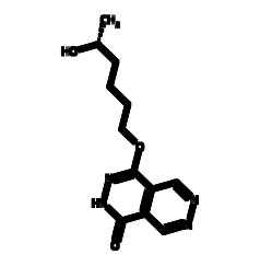 C[C@@H](O)CCCCOc1n[nH]c(=O)c2cnncc12